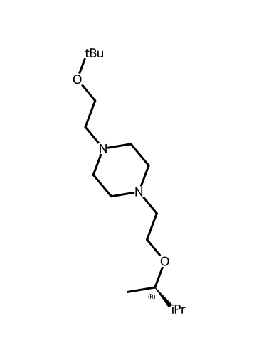 CC(C)[C@@H](C)OCCN1CCN(CCOC(C)(C)C)CC1